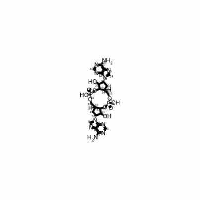 Nc1ncnc2c1ncn2[C@@H]1C[C@@H]2COP(=O)(O)OC3C(O)[C@H](n4cnc5c(N)ncnc54)C[C@@H]3COP(=O)(O)OC2C1O